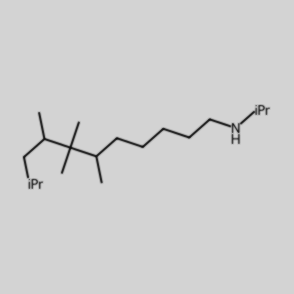 CC(C)CC(C)C(C)(C)C(C)CCCCCNC(C)C